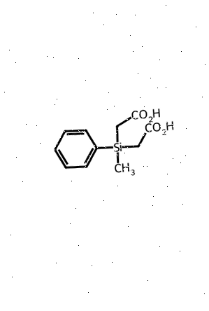 C[Si](CC(=O)O)(CC(=O)O)c1ccccc1